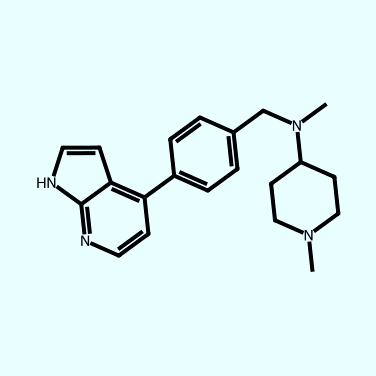 CN1CCC(N(C)Cc2ccc(-c3ccnc4[nH]ccc34)cc2)CC1